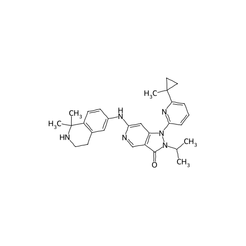 CC(C)n1c(=O)c2cnc(Nc3ccc4c(c3)CCNC4(C)C)cc2n1-c1cccc(C2(C)CC2)n1